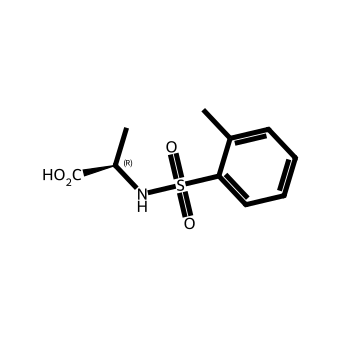 Cc1ccccc1S(=O)(=O)N[C@H](C)C(=O)O